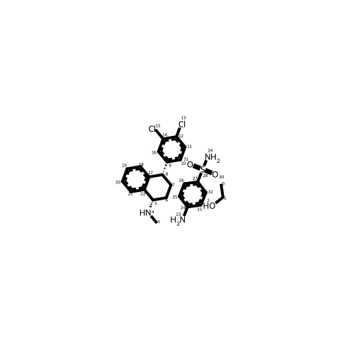 CCO.CN[C@H]1CC[C@@H](c2ccc(Cl)c(Cl)c2)c2ccccc21.Nc1ccc(S(N)(=O)=O)cc1